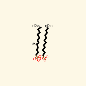 CCCCCCCCCCCCCCCCCCCCCCS(=O)(=O)[O-].CCCCCCCCCCCCCCCCCCCCCCS(=O)(=O)[O-].[Mg+2]